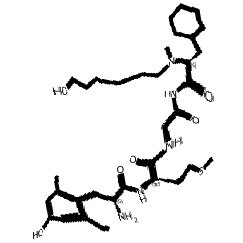 CSCC[C@@H](NC(=O)[C@@H](N)Cc1c(C)cc(O)cc1C)C(=O)NCC(=O)NC(=O)[C@H](CC1CCCCC1)N(C)CCCCCCO